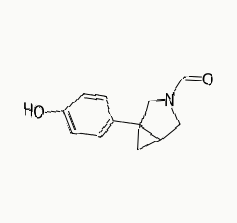 O=CN1CC2CC2(c2ccc(O)cc2)C1